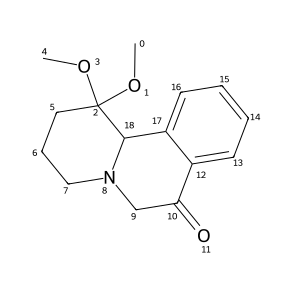 COC1(OC)CCCN2CC(=O)c3ccccc3C21